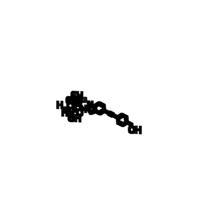 CC(CCn1cc2cc(C#Cc3ccc(CO)cc3)ccc2n1)(C(=O)NO)S(C)(=O)=O